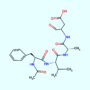 CC(=O)N[C@@H](Cc1ccccc1)C(=O)N[C@H](C(=O)N[C@@H](C)C(=O)NC(C=O)CC(=O)O)C(C)C